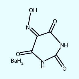 O=C1NC(=O)C(=NO)C(=O)N1.[BaH2]